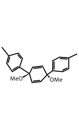 CO[C@]1(c2ccc(C)cc2)C=C[C@@](OC)(c2ccc(C)cc2)C=C1